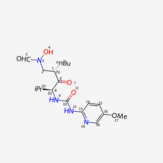 CCCC[C@@H](CN(O)C=O)C(=O)[C@@H](NC(=O)Nc1ccc(OC)cn1)C(C)C